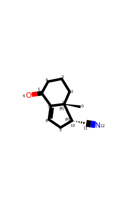 C[C@]12CCCC(=O)C1=CC[C@H]2C#N